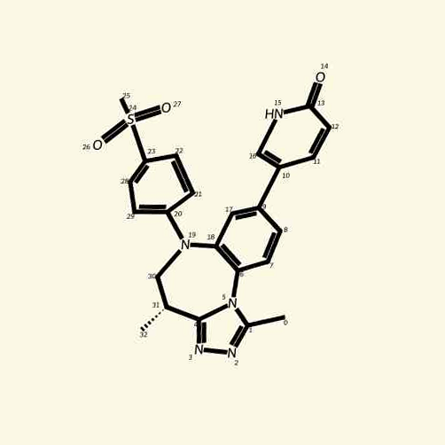 Cc1nnc2n1-c1ccc(-c3ccc(=O)[nH]c3)cc1N(c1ccc(S(C)(=O)=O)cc1)C[C@H]2C